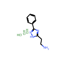 Cl.Cl.Cl.NCCc1nc(-c2ccccc2)n[nH]1